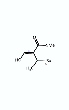 CC[C@@H](C)C(C)/C(=C\O)C(=O)NC